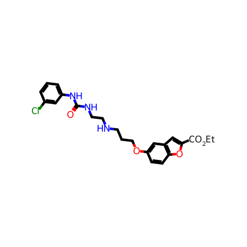 CCOC(=O)c1cc2cc(OCCCNCCNC(=O)Nc3cccc(Cl)c3)ccc2o1